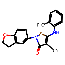 N#Cc1c(Nc2ccccc2C(F)(F)F)sn(-c2ccc3c(c2)CCO3)c1=O